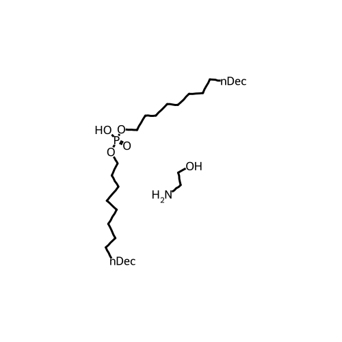 CCCCCCCCCCCCCCCCCCOP(=O)(O)OCCCCCCCCCCCCCCCCCC.NCCO